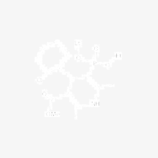 CCOP(=O)(OCC)C1=C(C)NC(C)=C(C(=O)OC)C1c1ccccc1Cl